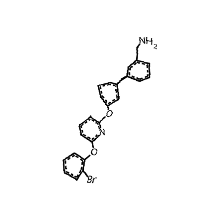 NCc1cccc(-c2cccc(Oc3cccc(Oc4ccccc4Br)n3)c2)c1